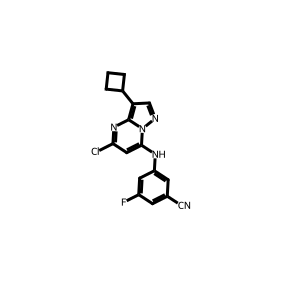 N#Cc1cc(F)cc(Nc2cc(Cl)nc3c(C4CCC4)cnn23)c1